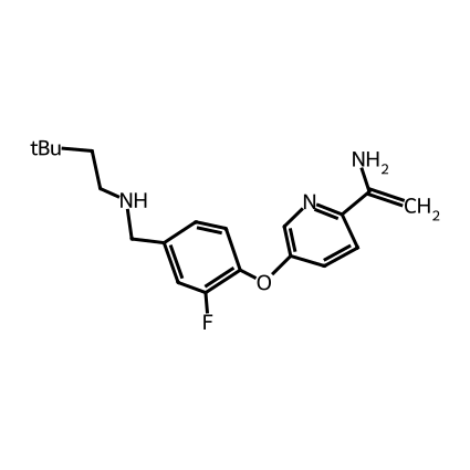 C=C(N)c1ccc(Oc2ccc(CNCCC(C)(C)C)cc2F)cn1